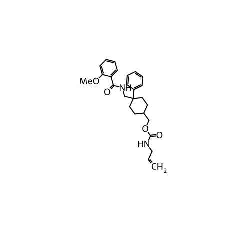 C=CCNC(=O)OCC1CCC(CNC(=O)c2ccccc2OC)(c2ccccc2)CC1